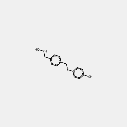 OPCc1ccc(CSc2ccc(S)cc2)cc1